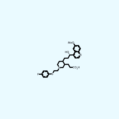 COc1ccc2nccc([C@@H](O)CCC3CCN(CCSc4ccc(F)cc4)CC3CCC(=O)O)c2c1